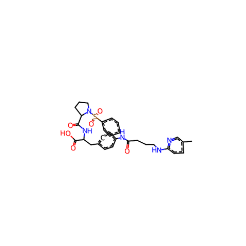 Cc1ccc(NCCCC(=O)Nc2ccc(CC(NC(=O)C3CCCN3S(=O)(=O)c3ccccc3)C(=O)O)cc2)nc1